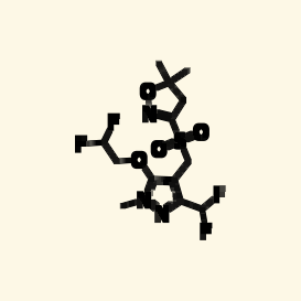 Cn1nc(C(F)F)c(CS(=O)(=O)C2=NOC(C)(C)C2)c1OCC(F)F